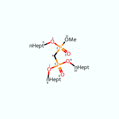 CCCCCCCOP(=O)(CP(=O)(OCCCCCCC)OCCCCCCC)OC